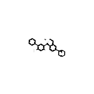 Cc1cc(F)c(-c2ccccc2)cc1-c1c2ccc(C3CC4CCC3CC4)cc2cc[n+]1C